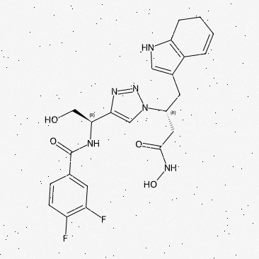 O=C(C[C@@H](Cc1c[nH]c2c1C=CCC2)n1cc([C@H](CO)NC(=O)c2ccc(F)c(F)c2)nn1)NO